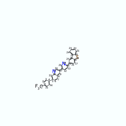 FC(F)(F)c1ccc(-c2ccc3cc(-c4ccc(-c5ccc6sc7ccccc7c6c5)nc4)cnc3c2)cc1